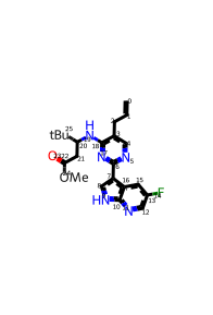 C=CCc1cnc(-c2c[nH]c3ncc(F)cc23)nc1NC(CC(=O)OC)C(C)(C)C